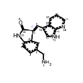 NCc1ccc2c(c1)/C(=C\c1c[nH]c3ncccc13)C(=O)N2